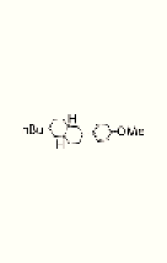 CCCCC1CC[C@@H]2C[C@H](c3ccc(OC)cc3)CC[C@@H]2C1